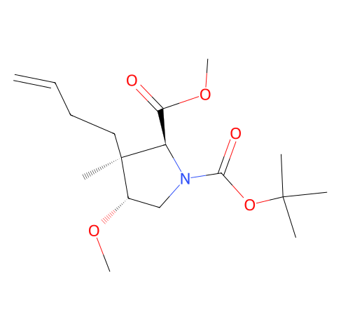 C=CCC[C@]1(C)[C@@H](OC)CN(C(=O)OC(C)(C)C)[C@@H]1C(=O)OC